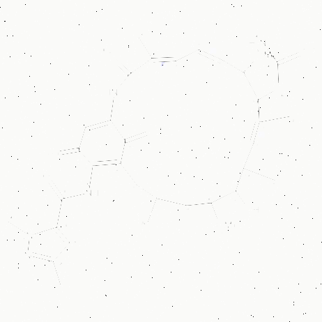 COC1/C=C\C=C(/C)C(=O)NC2=CC(=O)C(NC(=O)c3cc(C)nn3C)=C(CC(C)CC(OC)C(O)C(C)/C=C(\C)C1OC(N)=O)C2=O